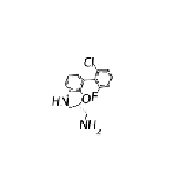 NC[C@@H]1CNc2cccc(-c3c(F)cccc3Cl)c2O1